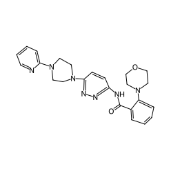 O=C(Nc1ccc(N2CCN(c3ccccn3)CC2)nn1)c1ccccc1N1CCOCC1